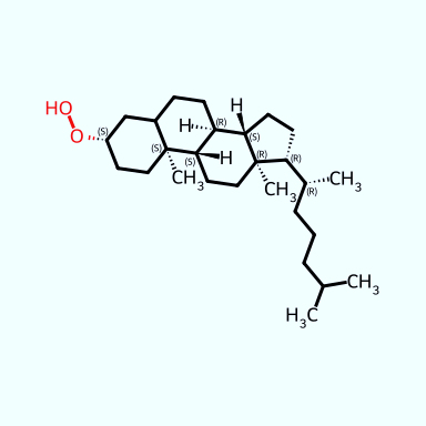 CC(C)CCC[C@@H](C)[C@H]1CC[C@H]2[C@@H]3CCC4C[C@@H](OO)CC[C@]4(C)[C@H]3CC[C@]12C